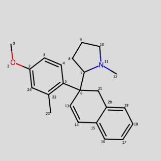 COc1ccc(C2(C3CCCN3C)C=Cc3ccccc3C2)c(C)c1